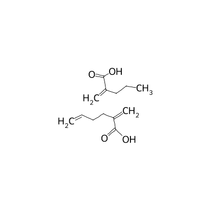 C=C(CCC)C(=O)O.C=CCCC(=C)C(=O)O